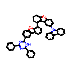 C1=c2oc3ccc(-n4c5ccccc5c5ccccc54)cc3c2=C(c2cccc3c2oc2ccc(C4=NC(c5ccccc5)=NC(c5ccccc5)N4)cc23)CC1